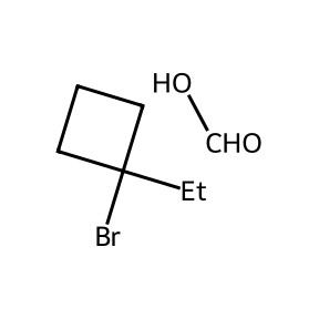 CCC1(Br)CCC1.O=CO